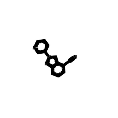 N#Cc1cccc2nn(-c3cccnc3)cc12